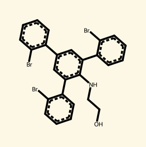 OCCNc1c(-c2ccccc2Br)cc(-c2ccccc2Br)cc1-c1ccccc1Br